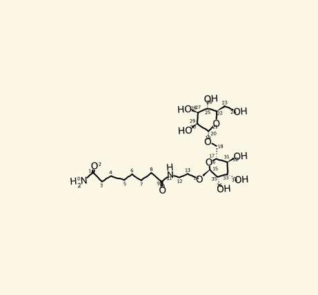 NC(=O)CCCCCCC(=O)NCCO[C@H]1O[C@H](CO[C@H]2O[C@H](CO)[C@@H](O)[C@H](O)[C@@H]2O)[C@@H](O)[C@H](O)[C@@H]1O